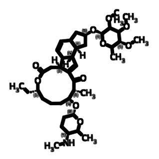 CC[C@H]1CCC[C@H](O[C@H]2CC[C@H](NC)C(C)O2)[C@@H](C)C(=O)C2=C[C@@H]3C(C=CC4C[C@@H](O[C@@H]5OC(C)[C@H](OC)C(OC)C5OC)C[C@H]43)[C@@H]2CC(=O)O1